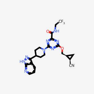 N#C[C@@H]1C[C@@H]1COc1nc(C(=O)NCC(F)(F)F)nc(N2CCC(c3n[nH]c4ncccc34)CC2)n1